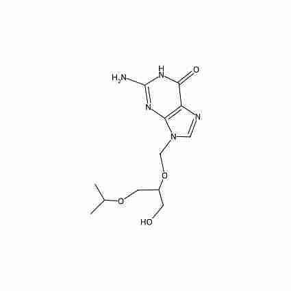 CC(C)OCC(CO)OCn1cnc2c(=O)[nH]c(N)nc21